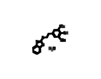 CC(C)(C)c1cc(CCSc2nc3ccccc3o2)cc(C(C)(C)C)c1S.O